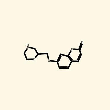 O=c1ccc2ccc(OCC3CNCCO3)cc2o1